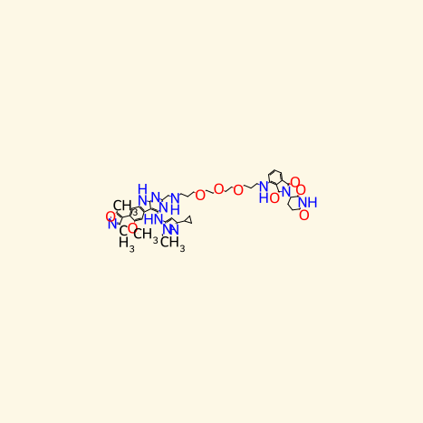 CCn1nc(C2CC2)cc1Nc1nc(CNCCCOCCOCCOCCCNc2cccc3c2C(=O)N(C2CCC(=O)NC2=O)C3=O)nc2[nH]c3cc(-c4c(C)noc4C)c(OC)cc3c12